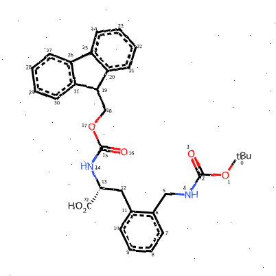 CC(C)(C)OC(=O)NCc1ccccc1C[C@@H](NC(=O)OCC1c2ccccc2-c2ccccc21)C(=O)O